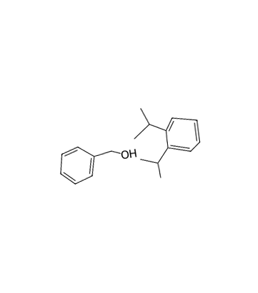 CC(C)c1ccccc1C(C)C.OCc1ccccc1